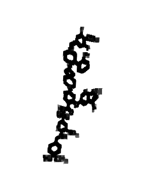 COc1c(F)cc(CN2CCN(C3CC4(CCN(c5ccc(C(=O)NS(=O)(=O)c6cnc(NCC7CCC(C)(O)CC7)c([N+](=O)[O-])c6)c(Oc6cnc7[nH]cc(F)c7c6)c5)CC4)C3)[C@H](c3ccccc3C(C)C)C2)cc1F